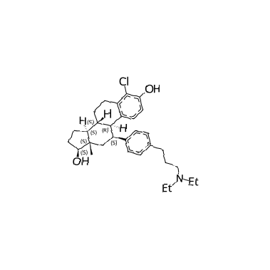 CCN(CC)CCCc1ccc([C@H]2C[C@]3(C)[C@@H](O)CC[C@H]3[C@@H]3CCc4c(ccc(O)c4Cl)[C@H]32)cc1